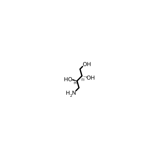 NC[C@@H](O)[C@@H](O)CO